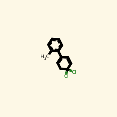 Cc1ccccc1C1=CCC(Cl)(Cl)C=C1